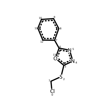 ClCSc1nnc(-c2ccccc2)o1